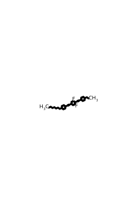 CCCCCCCCc1ccc(C#Cc2cc(F)c(C#Cc3ccc(CCC)cc3)c(F)c2)cc1